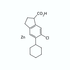 O=C(O)C1CCc2cc(C3CCCCC3)c(Cl)cc21.[Zn]